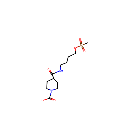 CS(=O)(=O)OCCCCNC(=O)C1CCN(C(=O)O)CC1